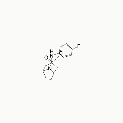 O=C(CCl)N1C2CCC1CC(Nc1ccc(F)cc1)C2